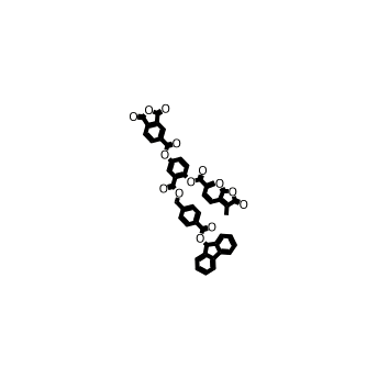 C=C(/C=C\C1=C(C)C(=O)OC1=O)C(=O)Oc1ccc(OC(=O)c2ccc3c(c2)C(=O)OC3=O)cc1C(=O)OCc1ccc(C(=O)OC2c3ccccc3-c3ccccc32)cc1